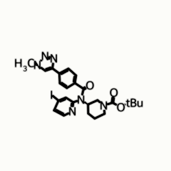 Cn1cc(-c2ccc(C(=O)N(c3cc(I)ccn3)[C@@H]3CCCN(C(=O)OC(C)(C)C)C3)cc2)nn1